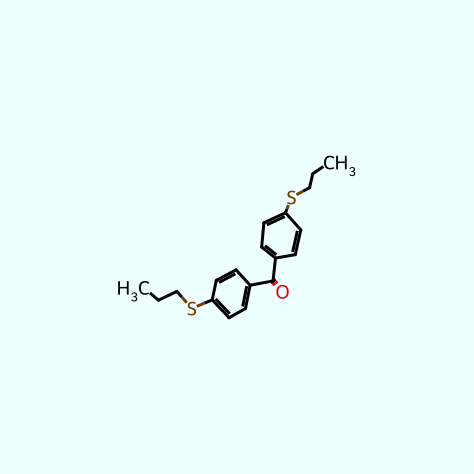 CCCSc1ccc(C(=O)c2ccc(SCCC)cc2)cc1